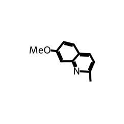 [CH2]Oc1ccc2ccc(C)nc2c1